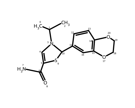 CC(C)N1C=C(C(N)=O)SC1c1ccc2c(c1)OCCO2